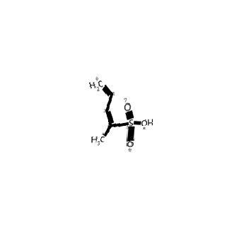 C=CC=C(C)S(=O)(=O)O